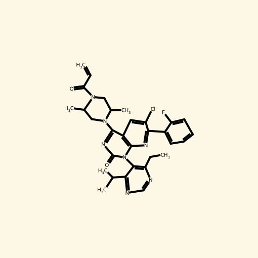 C=CC(=O)N1CC(C)N(c2nc(=O)n(-c3c(CC)ncnc3C(C)C)c3nc(-c4ccccc4F)c(Cl)cc23)CC1C